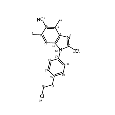 CCc1nc2c(C)c(C#N)c(C)cc2n1-c1ccc(CCCl)cc1